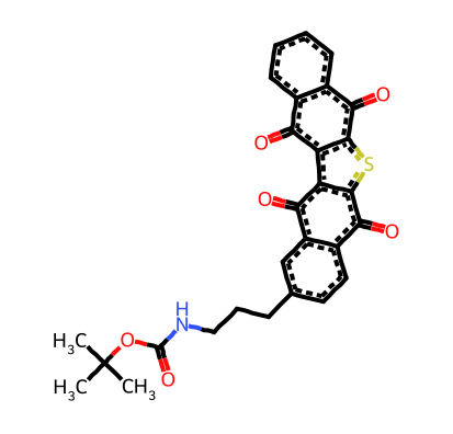 CC(C)(C)OC(=O)NCCCc1ccc2c(=O)c3sc4c(=O)c5ccccc5c(=O)c4c3c(=O)c2c1